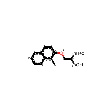 CCCCCCCCC(CCCCCC)COc1ccc2ccccc2c1C